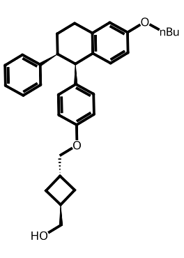 CCCCOc1ccc2c(c1)CC[C@H](c1ccccc1)[C@@H]2c1ccc(OC[C@H]2C[C@H](CO)C2)cc1